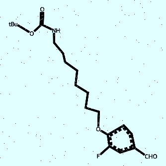 CC(C)(C)OC(=O)NCCCCCCCCOc1ccc(C=O)cc1F